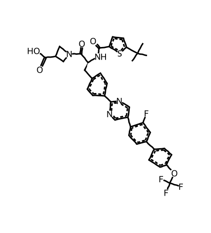 CC(C)(C)c1ccc(C(=O)N[C@@H](Cc2ccc(-c3ncc(-c4ccc(-c5ccc(OC(F)(F)F)cc5)cc4F)cn3)cc2)C(=O)N2CC(C(=O)O)C2)s1